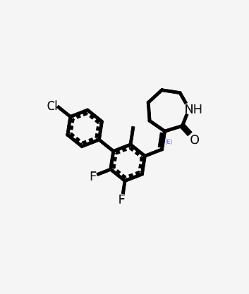 Cc1c(/C=C2\CCCCNC2=O)cc(F)c(F)c1-c1ccc(Cl)cc1